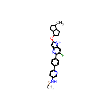 CSNc1ccc(-c2ccc(-c3nc4cc(OC5CCC6C(C)CCC56)[nH]c4cc3F)cc2)nc1